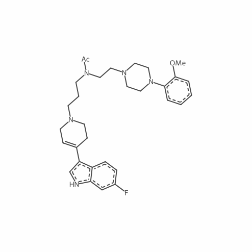 COc1ccccc1N1CCN(CCN(CCCN2CC=C(c3c[nH]c4cc(F)ccc34)CC2)C(C)=O)CC1